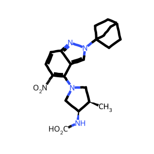 C[C@@H]1CN(c2c([N+](=O)[O-])ccc3nn(C45CCC(CC4)CC5)cc23)C[C@@H]1NC(=O)O